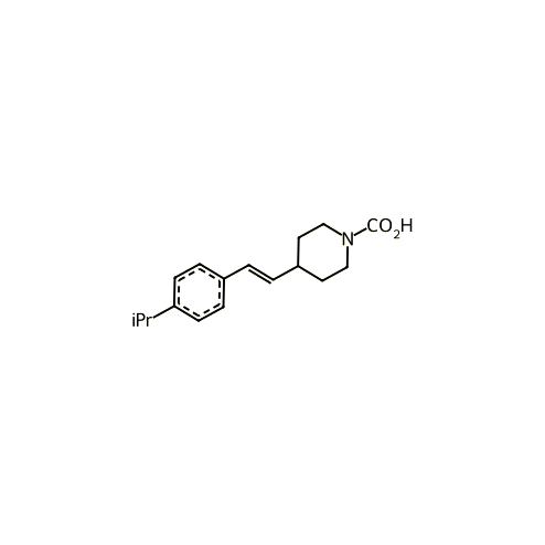 CC(C)c1ccc(C=CC2CCN(C(=O)O)CC2)cc1